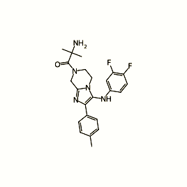 Cc1ccc(-c2nc3n(c2Nc2ccc(F)c(F)c2)CCN(C(=O)C(C)(C)N)C3)cc1